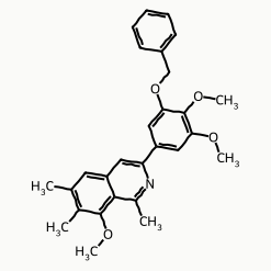 COc1cc(-c2cc3cc(C)c(C)c(OC)c3c(C)n2)cc(OCc2ccccc2)c1OC